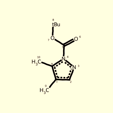 Cc1cnn(C(=O)OC(C)(C)C)c1C